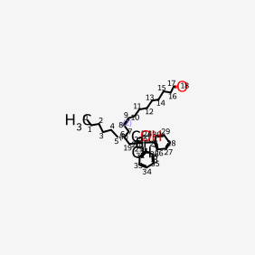 CCCCCC[C@H](C/C=C\CCCCCCCC=O)CC(C)(C)[Si](O)(c1ccccc1)c1ccccc1